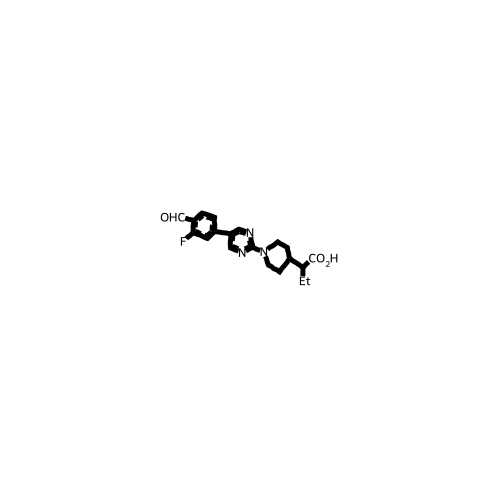 CCC(C(=O)O)C1CCN(c2ncc(-c3ccc(C=O)c(F)c3)cn2)CC1